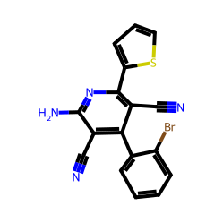 N#Cc1c(N)nc(-c2cccs2)c(C#N)c1-c1ccccc1Br